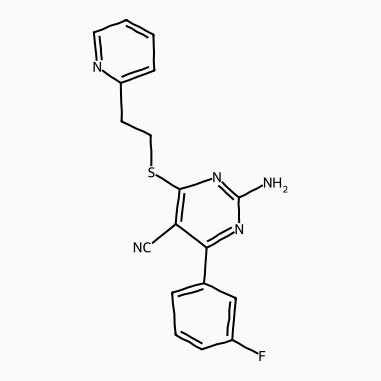 N#Cc1c(SCCc2ccccn2)nc(N)nc1-c1cccc(F)c1